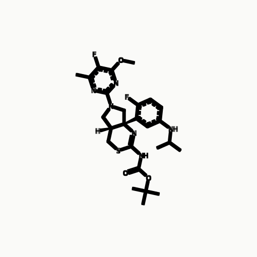 COc1nc(N2C[C@H]3CSC(NC(=O)OC(C)(C)C)=N[C@@]3(c3cc(NC(C)C)ccc3F)C2)nc(C)c1F